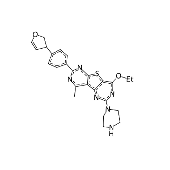 CCOc1nc(N2CCNCC2)nc2c1sc1nc(-c3ccc(C4C=COC4)cc3)nc(C)c12